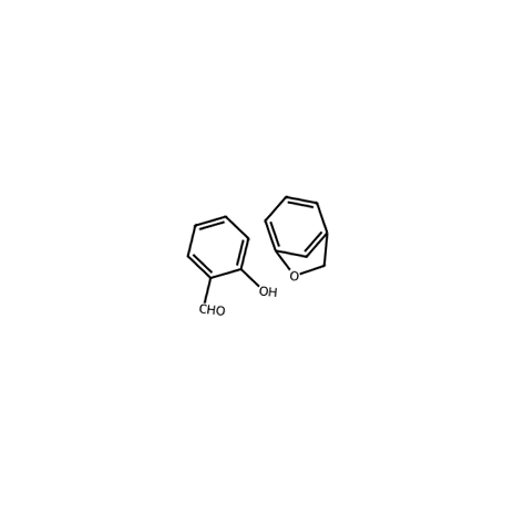 O=Cc1ccccc1O.c1cc2cc(c1)OC2